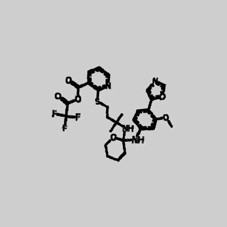 COc1cc(NC2(NC(C)(C)CCSc3ncccc3C(=O)OC(=O)C(F)(F)F)CCCCO2)ccc1-c1cnco1